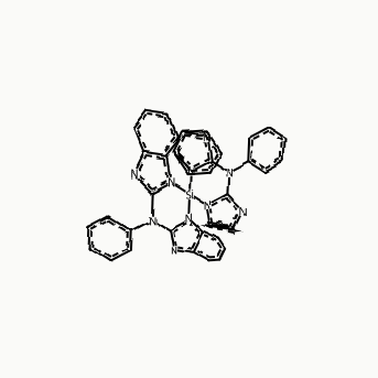 c1ccc(N2c3nc4ccccc4n3[Si]3(n4c2nc2ccccc24)n2c(nc4ccccc42)N(c2ccccc2)c2nc4ccccc4n23)cc1